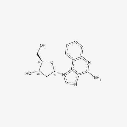 Nc1nc2ccccc2c2c1ncn2[C@@H]1C[C@H](O)[C@@H](CO)O1